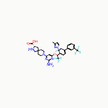 Cc1ccn(C2(F)CC(c3cccc(C(F)(F)F)c3)=CC=C2C(Oc2cc(N3CCC4(CC3)CN[C@H](C(=O)O)C4)nc(N)n2)C(F)(F)F)n1